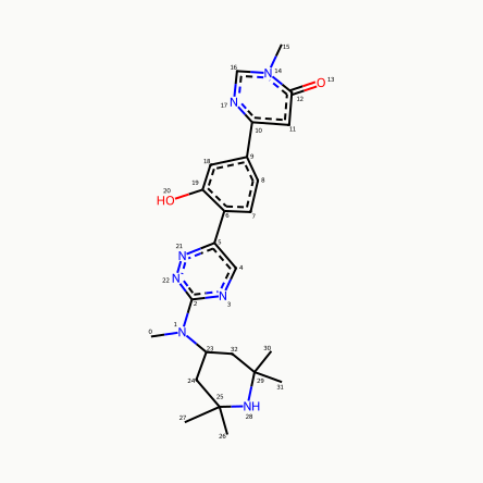 CN(c1ncc(-c2ccc(-c3cc(=O)n(C)cn3)cc2O)nn1)C1CC(C)(C)NC(C)(C)C1